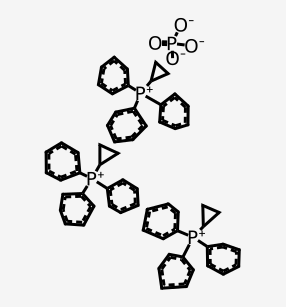 O=P([O-])([O-])[O-].c1ccc([P+](c2ccccc2)(c2ccccc2)C2CC2)cc1.c1ccc([P+](c2ccccc2)(c2ccccc2)C2CC2)cc1.c1ccc([P+](c2ccccc2)(c2ccccc2)C2CC2)cc1